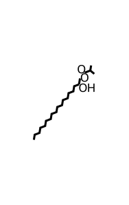 CCCCCCCCCCCCCCCCC(O)COC(=O)C(C)C